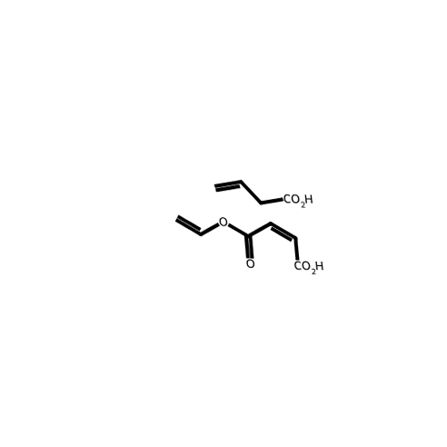 C=CCC(=O)O.C=COC(=O)/C=C\C(=O)O